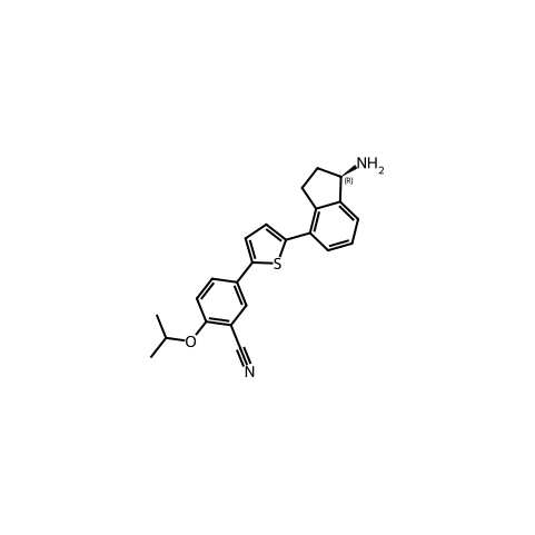 CC(C)Oc1ccc(-c2ccc(-c3cccc4c3CC[C@H]4N)s2)cc1C#N